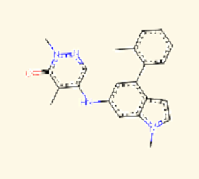 Cc1ccccc1-c1cc(Nc2cnn(C)c(=O)c2C)cc2c1ccn2C